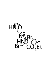 CCOC(=O)C1=C(CBr)NC(c2nc(CC(=O)NC(C)C)cs2)=NC1c1ccc(F)cc1Br